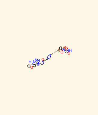 Nc1ncnc2c1c(-c1ccc(Oc3ccccc3)cc1)nn2C1CCCN(C(=O)CCCN2CCN(CCCCCCCSc3cccc4c3C(=O)N(C3CCC(=O)NC3=O)C4=O)CC2)C1